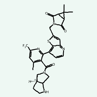 Cc1cc(C(F)(F)F)nc(-c2ccnc3cc(CN4C(=O)C5C(C4=O)C5(C)C)sc23)c1C(=O)N1CC2NCC[C@H]2C1